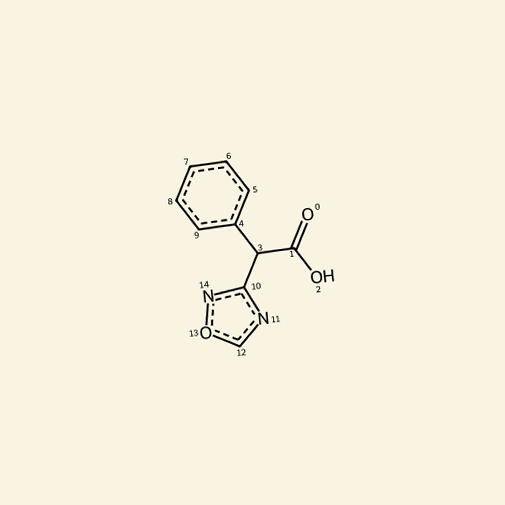 O=C(O)C(c1ccccc1)c1ncon1